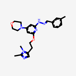 Cc1cccc(/C=N/Nc2cc(N3CCOCC3)cc(OCCc3cnc(C)n3C)n2)c1